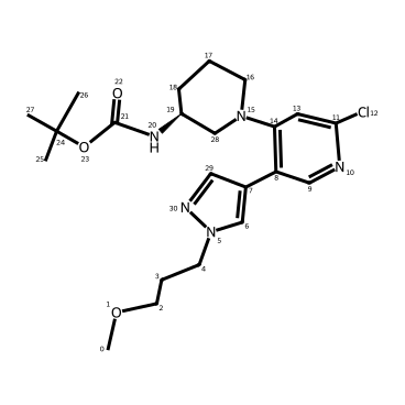 COCCCn1cc(-c2cnc(Cl)cc2N2CCC[C@H](NC(=O)OC(C)(C)C)C2)cn1